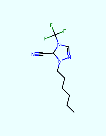 CCCCCCN1N=CN(C(F)(F)F)C1C#N